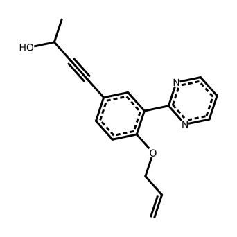 C=CCOc1ccc(C#CC(C)O)cc1-c1ncccn1